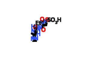 CCN1C(=O)N(OS(=O)(=O)O)CC[C@H]1C(=O)NNC(=O)[C@@H]1C[C@H](n2nccn2)CN1